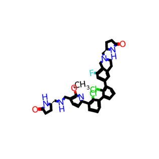 COc1nc(-c2cccc(-c3cccc(-c4cc(F)c5c(c4)CCN(C[C@H]4CCC(=O)N4)C5)c3Cl)c2Cl)ccc1CNC[C@@H]1CCC(=O)N1